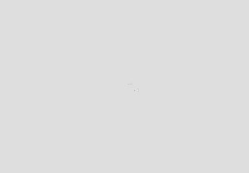 [CH2]=[Ta]([CH3])([C]1=CC=CC1)[C]1=CC=CC1